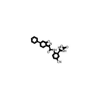 N#Cc1ccc(NC(=O)c2noc3cc(-c4ccccc4)ccc23)c(-c2noc(=O)[nH]2)c1